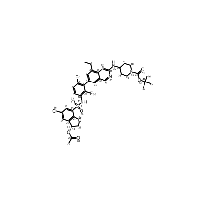 CCc1cc(-c2c(F)ccc(NS(=O)(=O)c3cc(Cl)cc4c3OC[C@@H]4OC(C)=O)c2F)cc2cnc(NC3CCN(C(=O)OC(C)(C)C)CC3)nc12